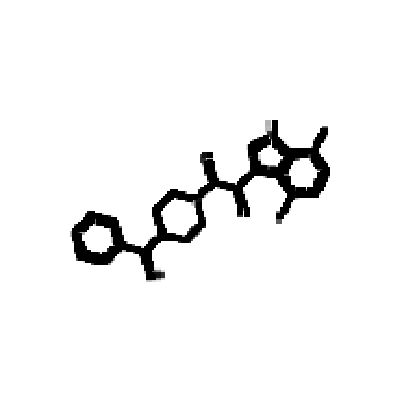 Cc1ccc(F)c2c(C(=O)C(=O)N3CCN(C(=N)c4ccccc4)CC3)c[nH]c12